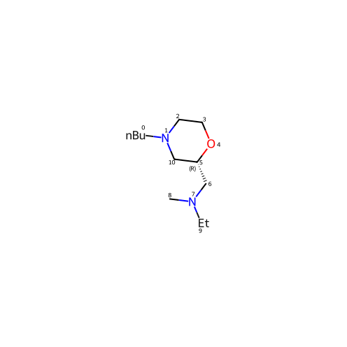 CCCCN1CCO[C@H](CN(C)CC)C1